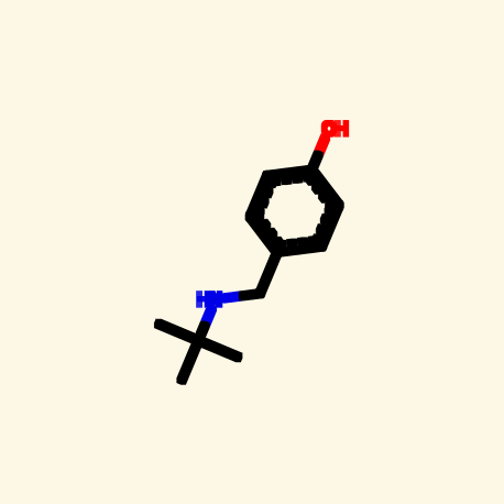 CC(C)(C)NCc1ccc(O)cc1